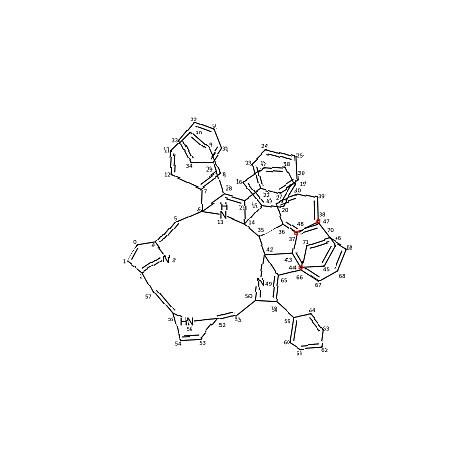 C1=CC2=NC1=CC1(c3ccccc3)NC(c3ccccc3)(C(c3ccccc3)=C1c1ccccc1)C(c1ccccc1)C1(c3ccccc3)N=C(C=c3ccc([nH]3)=C2)C(c2ccccc2)=C1c1ccccc1